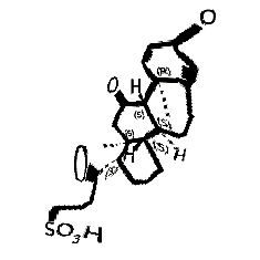 C[C@]12CC(=O)[C@H]3[C@@H](CCC4=CC(=O)C=C[C@@]43C)[C@@H]1CC[C@@H]2C(=O)CCS(=O)(=O)O